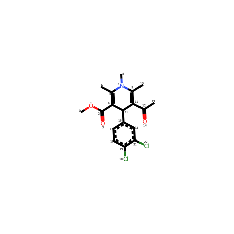 COC(=O)C1=C(C)N(C)C(C)=C(C(C)=O)C1c1ccc(Cl)c(Cl)c1